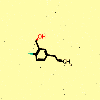 C=CCc1ccc(F)c(CO)c1